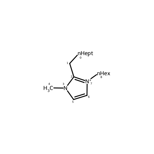 CCCCCCCCc1n(C)cc[n+]1CCCCCC